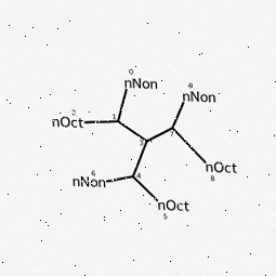 CCCCCCCCCC(CCCCCCCC)[C](C(CCCCCCCC)CCCCCCCCC)C(CCCCCCCC)CCCCCCCCC